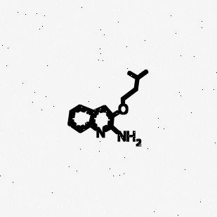 CC(C)CCOc1cc2ccccc2nc1N